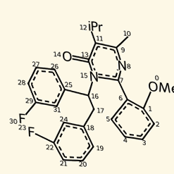 COc1ccccc1-c1nc(C)c(C(C)C)c(=O)n1C(Cc1cccc(F)c1)c1cccc(F)c1